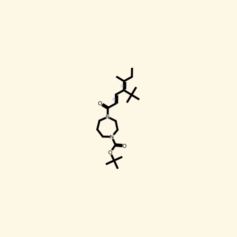 CC/C(C)=C(/C=C/C(=O)N1CCCN(C(=O)OC(C)(C)C)CC1)C(C)(C)C